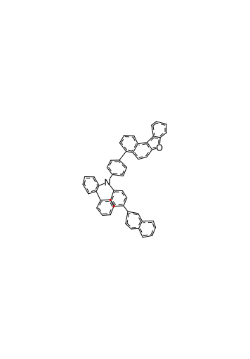 c1ccc(-c2ccccc2N(c2ccc(-c3ccc4ccccc4c3)cc2)c2ccc(-c3cccc4c3ccc3oc5ccccc5c34)cc2)cc1